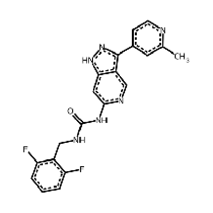 Cc1cc(-c2n[nH]c3cc(NC(=O)NCc4c(F)cccc4F)ncc23)ccn1